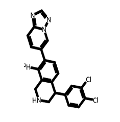 [2H]c1c(-c2ccc3ncnn3c2)ccc2c1CNCC2c1ccc(Cl)c(Cl)c1